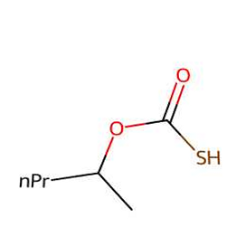 CCCC(C)OC(=O)S